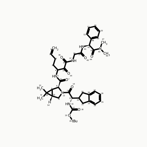 C=CCCC(NC(=O)[C@@H]1C2[C@H](CN1C(=O)[C@@H](NC(=O)OC(C)(C)C)C1Cc3ccccc3C1)C2(C)C)C(=O)C(=O)NCC(=O)N[C@H](C(=O)N(C)C)c1ccccc1